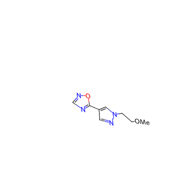 COCCn1cc(-c2ncno2)cn1